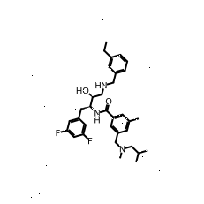 CCc1cccc(CNC[C@H](O)[C@H](Cc2cc(F)cc(F)c2)NC(=O)c2cc(C)cc(CN(C)CC(C)C)c2)c1